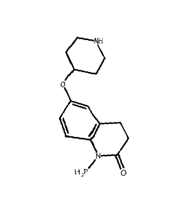 O=C1CCc2cc(OC3CCNCC3)ccc2N1P